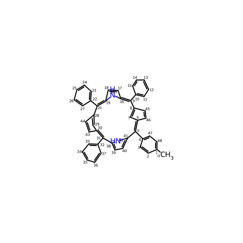 Cc1ccc(-c2c3cc(c(-c4ccccc4)c4ccc([nH]4)c(-c4ccccc4)c4cc(c(-c5ccccc5)c5ccc2[nH]5)C=C4)C=C3)cc1